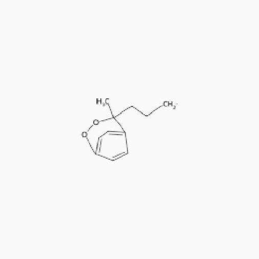 [CH2]CCC1(C)OOc2ccc1cc2